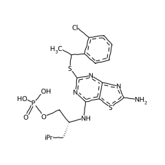 CC(C)C[C@H](COP(=O)(O)O)Nc1nc(SC(C)c2ccccc2Cl)nc2nc(N)sc12